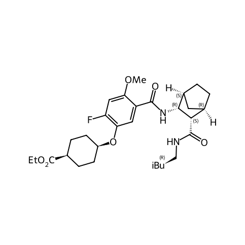 CCOC(=O)[C@H]1CC[C@@H](Oc2cc(C(=O)N[C@@H]3[C@H]4CC[C@H](C4)[C@@H]3C(=O)NC[C@H](C)CC)c(OC)cc2F)CC1